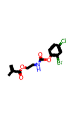 C=C(C)C(=O)OCCNC(=O)Oc1ccc(Cl)cc1Br